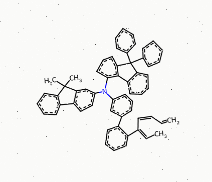 C=C/C=C\C(=C/C)c1ccccc1-c1cccc(N(c2ccc3c(c2)C(C)(C)c2ccccc2-3)c2cccc3c2-c2ccccc2C3(c2ccccc2)c2ccccc2)c1